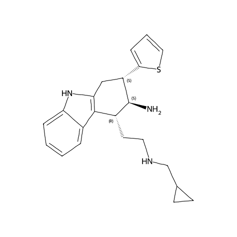 N[C@@H]1[C@@H](c2cccs2)Cc2[nH]c3ccccc3c2[C@H]1CCNCC1CC1